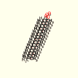 CCC(C)(C)C(C)(CC)C(C)(CC)C(C)(CC)C(C)(CC)C(C)(CC)C(C)(CC)C(C)(CC)C(C)(CC)C(C)(CC)C(C)(CC)C(C)(CC)C(C)(CC)C(C)(CC)C(C)(CC)C(C)(CC)C(C)(CC)C(C)(CC)C(C)(CC)C(C)(CC)C(C)(CC)C(C)(CC)C(C)(CC)C(C)(CC)C(C)(CC)C(C)(CC)C(C)(CC)C(C)(CC)C(C)(CC)C(C)(CC)C(=O)OC1CCOC1=O